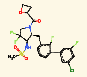 CS(=O)(=O)N[C@@H]1[C@H](Cc2cccc(-c3cc(F)cc(Cl)c3)c2F)N(C(=O)C2CCO2)CC1(F)F